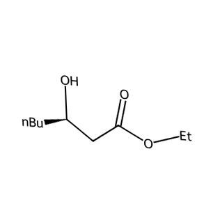 CCCC[C@@H](O)CC(=O)OCC